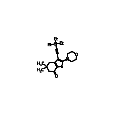 CC[Si](C#Cc1c(N2CCOCC2)sc2c1CC(C)(C)CC2=O)(CC)CC